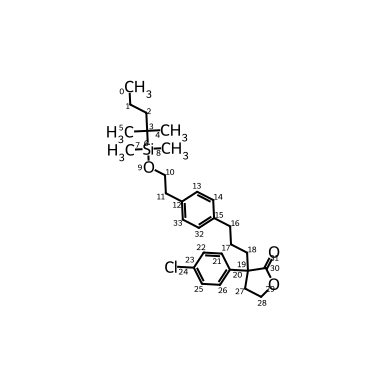 CCCC(C)(C)[Si](C)(C)OCCc1ccc(CCCC2(c3ccc(Cl)cc3)CCOC2=O)cc1